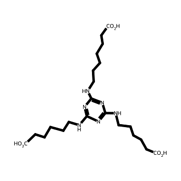 O=C(O)CCCCCCNc1nc(NCCCCCC(=O)O)nc(NCCCCCC(=O)O)n1